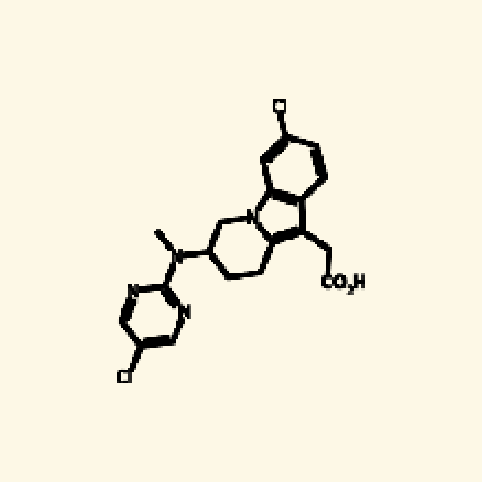 CN(c1ncc(Cl)cn1)C1CCc2c(CC(=O)O)c3ccc(Cl)cc3n2C1